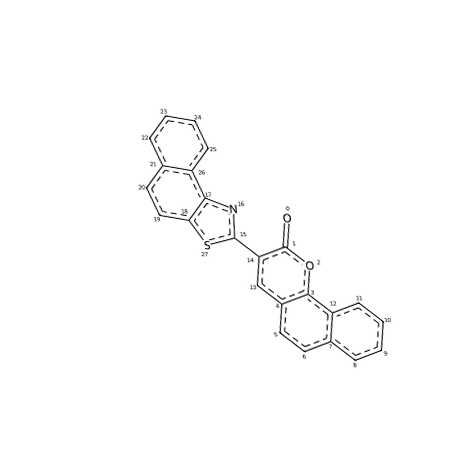 O=c1oc2c(ccc3ccccc32)cc1-c1nc2c(ccc3ccccc32)s1